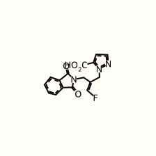 O=C(O)c1ccnn1CC(=CF)CN1C(=O)c2ccccc2C1=O